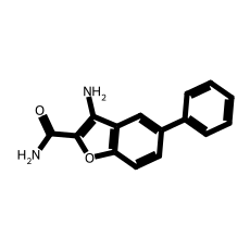 NC(=O)c1oc2ccc(-c3ccccc3)cc2c1N